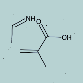 C=C(C)C(=O)O.CC=N